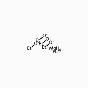 CC[O-].CC[O-].CC[O-].CC[O-].[Hf+4].[MgH2]